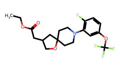 CCOC(=O)CC1COC2(CCN(c3cc(OC(F)(F)F)ccc3F)CC2)C1